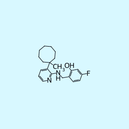 CC1(c2cccnc2NCc2ccc(F)cc2O)CCCCCCC1